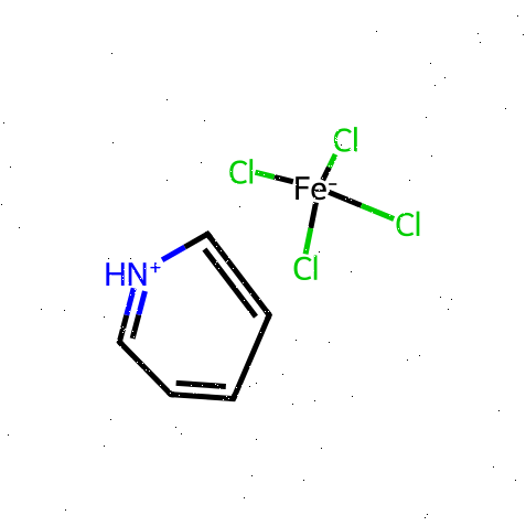 [Cl][Fe-]([Cl])([Cl])[Cl].c1cc[nH+]cc1